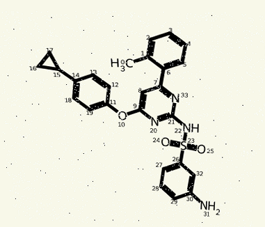 Cc1ccccc1-c1cc(Oc2ccc(C3CC3)cc2)nc(NS(=O)(=O)c2cccc(N)c2)n1